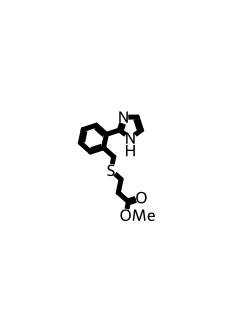 COC(=O)CCSCc1ccccc1-c1ncc[nH]1